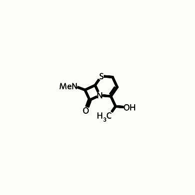 CNC1C(=O)N2C(C(C)O)=CCSC12